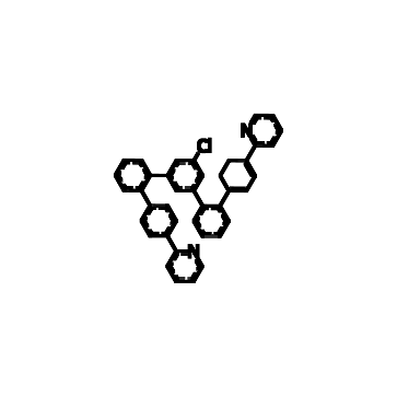 Clc1cc(-c2ccccc2C2=CC=C(c3ccccn3)CC2)cc(-c2ccccc2-c2ccc(-c3ccccn3)cc2)c1